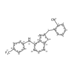 [C-]#[N+]c1ccccc1Cc1nc2c(Nc3ccc(C(F)(F)F)cc3)ncnc2s1